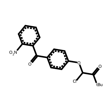 CC(C)(C)C(=O)C(Cl)Oc1ccc(C(=O)c2ccccc2[N+](=O)[O-])cc1